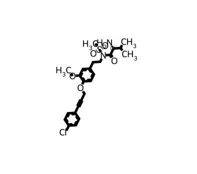 COc1cc(CCN(C(=O)[C@@H](N)C(C)C)S(C)(=O)=O)ccc1OCC#Cc1ccc(Cl)cc1